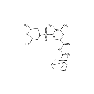 Cc1cc(C(=O)NC(C)C23CC4CC(CC(C4)C2I)C3)cc(S(=O)(=O)N2CC(C)OC(C)C2)c1C